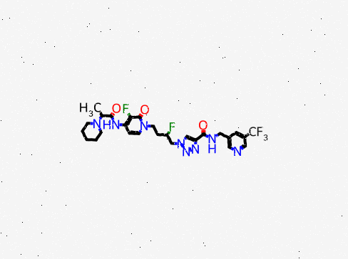 CC(C(=O)Nc1ccn(CCC(F)Cn2cc(C(=O)NCc3cncc(C(F)(F)F)c3)nn2)c(=O)c1F)N1CCCCC1